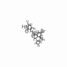 C=Cc1c(C(=O)NCc2c(C)cc(C)[nH]c2=O)cc(Br)cc1N(C)C1CCCC1